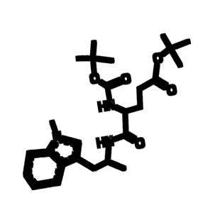 CC(Cc1cn(C)c2ccccc12)NC(=O)C(CCC(=O)OC(C)(C)C)NC(=O)OC(C)(C)C